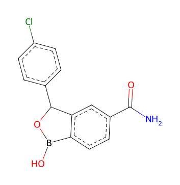 NC(=O)c1ccc2c(c1)C(c1ccc(Cl)cc1)OB2O